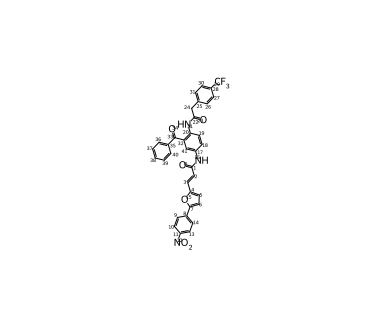 O=C(C=Cc1ccc(-c2ccc([N+](=O)[O-])cc2)o1)Nc1ccc(NC(=O)Cc2ccc(C(F)(F)F)cc2)c(C(=O)c2ccccc2)c1